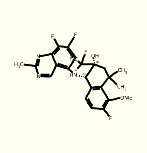 COc1c(F)ccc2c1C(C)(C)C[C@](O)(C(F)(F)C(F)(F)F)[C@H]2Nc1cc(F)c(F)c2nc(C)ncc12